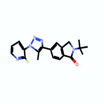 Cc1c(-c2ccc3c(c2)CN(C(C)(C)C)C3=O)nnn1-c1cccnc1F